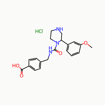 COc1cccc(C2CNCCN2C(=O)NCc2ccc(C(=O)O)cc2)c1.Cl